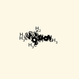 C=CC(=O)NC1=C(N2CC(C)N(C)C(C)C2)C=CC(OC)C(Nc2cc(-c3ccc4c(cnn4C)c3)ncn2)=C1